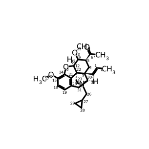 C/C=C/[C@]12C[C@H](C(C)=O)C(OC)[C@@H]3Oc4c(OC)ccc5c4[C@@]31CCN(CC1CC1)[C@@H]2C5